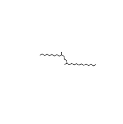 CCCCCCCCCCCCC(C)CCCC(C)CCCCCCCCC